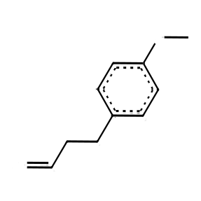 COc1ccc(CC[C]=O)cc1